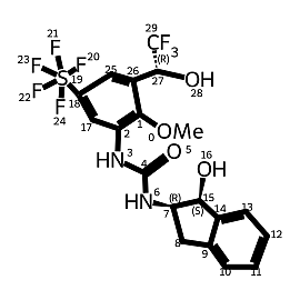 COc1c(NC(=O)N[C@@H]2Cc3ccccc3[C@@H]2O)cc(S(F)(F)(F)(F)F)cc1[C@@H](O)C(F)(F)F